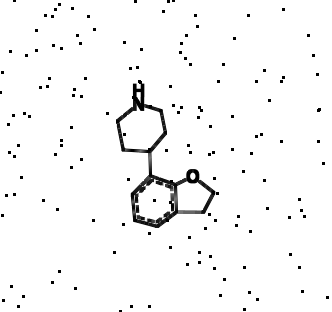 c1cc2c(c(C3CCNCC3)c1)OCC2